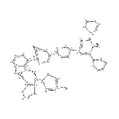 C=C1C(c2ccccc2)=CC(c2ccc(-c3ccc(-c4cccc5oc6c7ccccc7c(C7C=CC(C#N)=CC7)cc6c45)cc3)cc2)=NC1C1C=CC=CC1